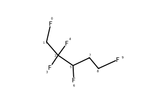 F[CH]C(F)(F)C(F)CCF